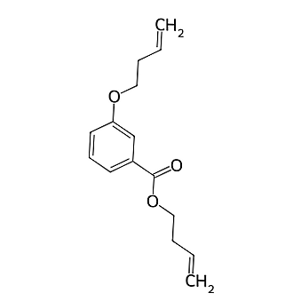 C=CCCOC(=O)c1cccc(OCCC=C)c1